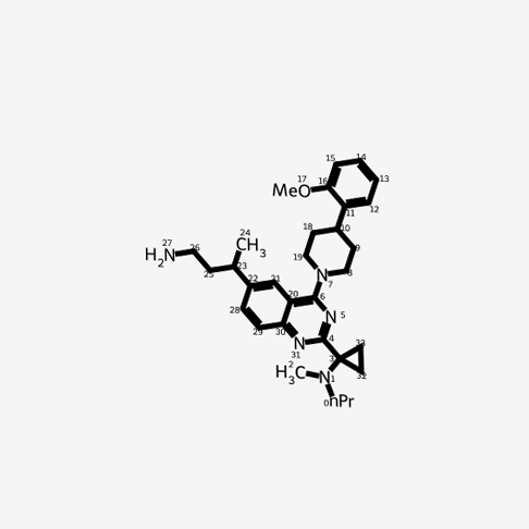 CCCN(C)C1(c2nc(N3CCC(c4ccccc4OC)CC3)c3cc(C(C)CCN)ccc3n2)CC1